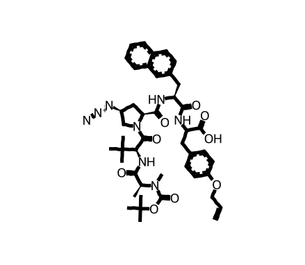 C=CCOc1ccc(CC(NC(=O)[C@H](Cc2ccc3ccccc3c2)NC(=O)[C@@H]2C[C@H](N=[N+]=[N-])CN2C(=O)[C@@H](NC(=O)[C@H](C)N(C)C(=O)OC(C)(C)C)C(C)(C)C)C(=O)O)cc1